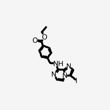 CCOC(=O)c1ccc(CNc2nccn3c(I)cnc23)cc1